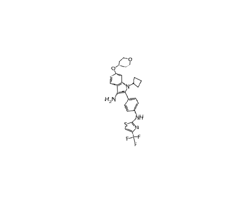 Nc1c(-c2ccc(Nc3nc(C(F)(F)F)cs3)cc2)n(C2CCC2)c2cc(OC3CCOCC3)ccc12